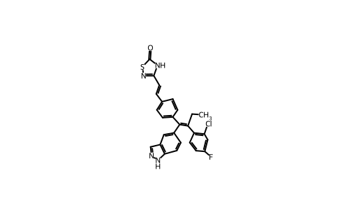 CC/C(=C(\c1ccc(C=Cc2nsc(=O)[nH]2)cc1)c1ccc2[nH]ncc2c1)c1ccc(F)cc1Cl